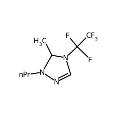 CCCN1N=CN(C(F)(F)C(F)(F)F)C1C